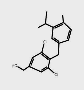 Cc1ccc(Cc2c(Cl)cc(CO)cc2Cl)cc1C(C)C